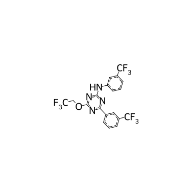 FC(F)(F)COc1nc(Nc2cccc(C(F)(F)F)c2)nc(-c2cccc(C(F)(F)F)c2)n1